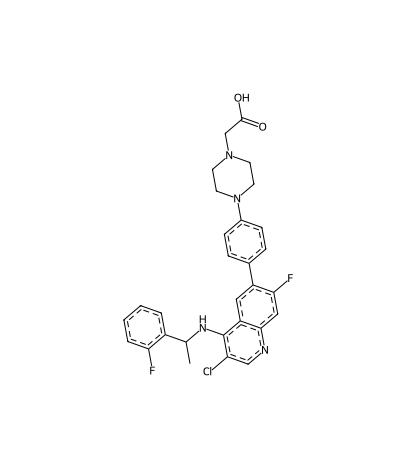 CC(Nc1c(Cl)cnc2cc(F)c(-c3ccc(N4CCN(CC(=O)O)CC4)cc3)cc12)c1ccccc1F